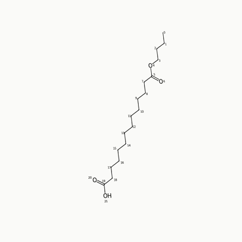 CCCCOC(=O)CCCCCCCCCCCCC(=O)O